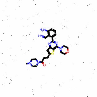 CN1CCN(C(=O)CCc2cc3nc(-c4cccc(N)c4C=N)nc(N4CCOCC4)c3s2)CC1